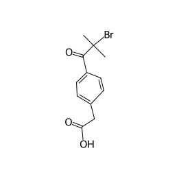 CC(C)(Br)C(=O)c1ccc(CC(=O)O)cc1